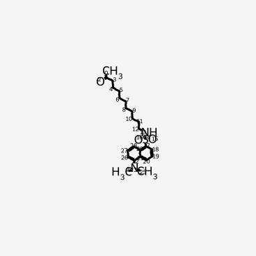 CC(=O)CCCCCCCCCCNS(=O)(=O)c1cccc2c(N(C)C)cccc12